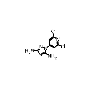 Nc1nc(N)n(-c2cc(Cl)nc(Cl)c2)n1